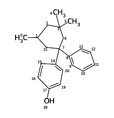 CC1CC(C)(C)CC(c2ccccc2)(c2ccc(O)cc2)C1